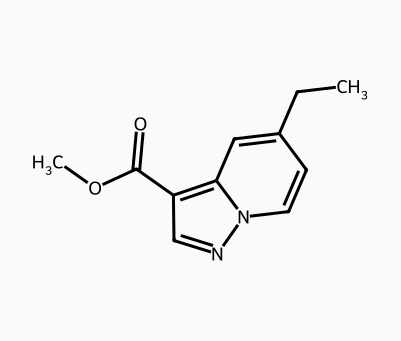 CCc1ccn2ncc(C(=O)OC)c2c1